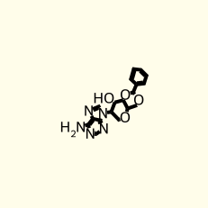 Nc1ncnc2c1ncn2C1COC2COC(c3ccccc3)OC2C1O